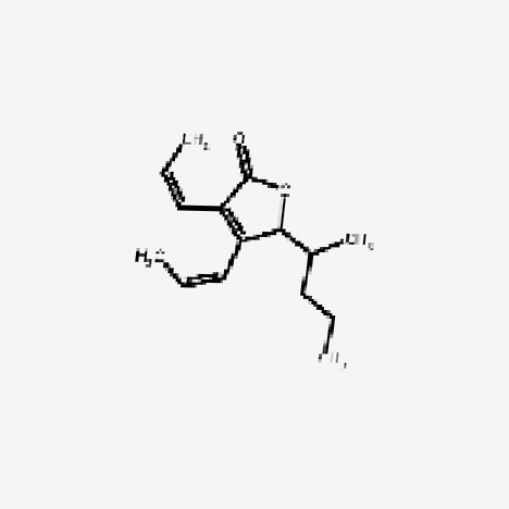 C/C=C\C1=C(/C=C\C)C(C(C)CCC)OC1=O